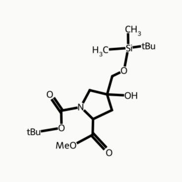 COC(=O)C1CC(O)(CO[Si](C)(C)C(C)(C)C)CN1C(=O)OC(C)(C)C